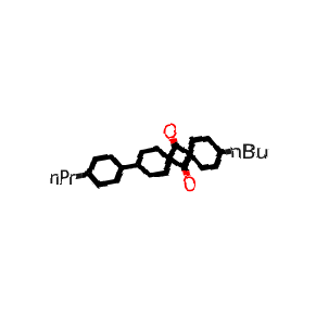 CCCCC1CCC2(CC1)C(=O)C1(CCC(C3CCC(CCC)CC3)CC1)C2=O